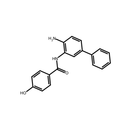 Nc1ccc(-c2ccccc2)cc1NC(=O)c1ccc(O)cc1